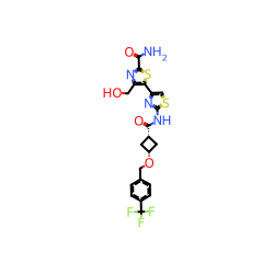 NC(=O)c1nc(CO)c(-c2csc(NC(=O)[C@H]3C[C@@H](OCc4ccc(C(F)(F)F)cc4)C3)n2)s1